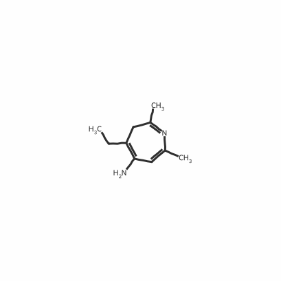 CCC1=C(N)C=C(C)N=C(C)C1